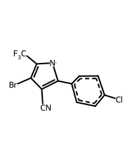 N#CC1=C(c2ccc(Cl)cc2)[N]C(C(F)(F)F)=C1Br